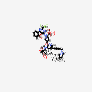 C[C@@H]1N(c2cc(C#CCN3CCC(C)(C)C3)cnc2O[C@H]2C[C@@H](C(=O)O)N(c3nc(C(F)F)nc4c3oc3ccccc34)C2)CCOC12COC2